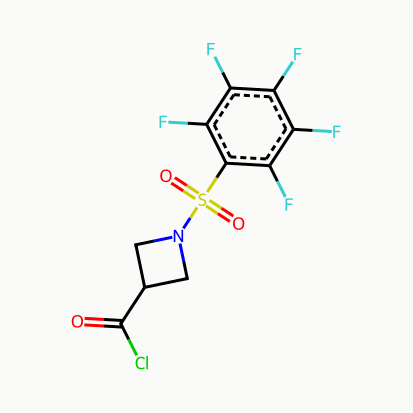 O=C(Cl)C1CN(S(=O)(=O)c2c(F)c(F)c(F)c(F)c2F)C1